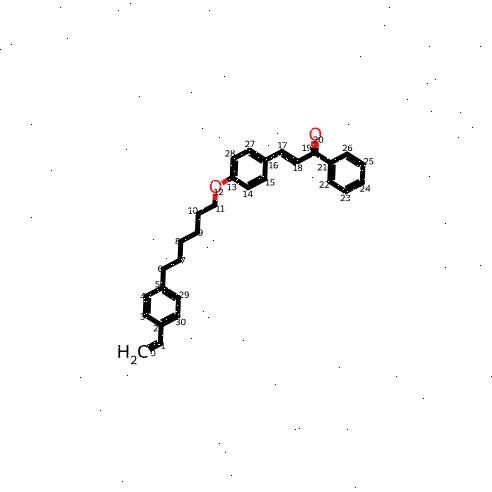 C=Cc1ccc(CCCCCCOc2ccc(C=CC(=O)c3ccccc3)cc2)cc1